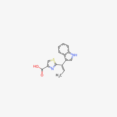 C/C=C(\c1nc(C(=O)O)cs1)c1c[nH]c2ccccc12